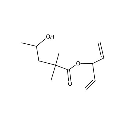 C=CC(C=C)OC(=O)C(C)(C)CC(C)O